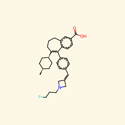 C[C@H]1CC[C@@H](C2=C(c3ccc(C=C4CN(CCCF)C4)cc3)c3ccc(C(=O)O)cc3CCC2)CC1